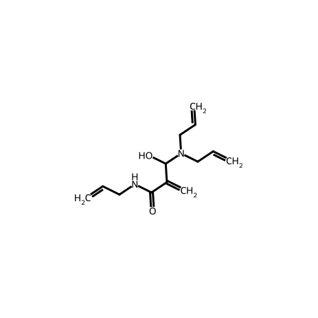 C=CCNC(=O)C(=C)C(O)N(CC=C)CC=C